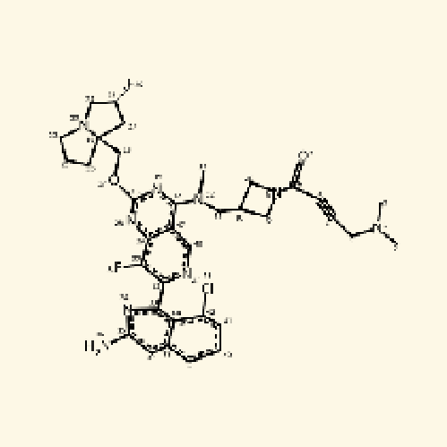 CN(C)CC#CC(=O)N1CC(CN(C)c2nc(OC[C@@]34CCCN3C[C@H](F)C4)nc3c(F)c(-c4nc(N)cc5cccc(Cl)c45)ncc23)C1